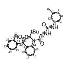 Cc1cccc(NC(=O)NCC(=O)N(c2ccccc2C(=O)c2ccccc2F)C(C(=O)O)C(C)(C)C)c1